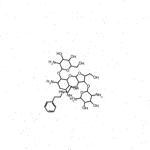 NC1CC(N)C(OC2OC(CO)C(O)C(O)C2N)C(OC2OC(CO)C(OC3OC(N)C(O)C(O)C3N)C2OCCNCCc2ccccc2)C1O